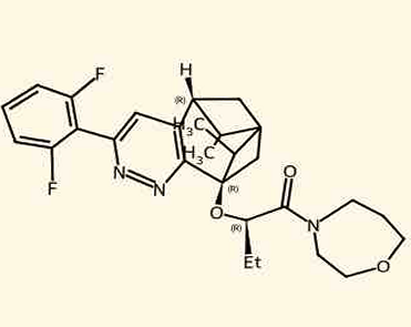 CC[C@@H](O[C@@]12CC3(C[C@@H](c4cc(-c5c(F)cccc5F)nnc41)C3C)C2C)C(=O)N1CCCOCC1